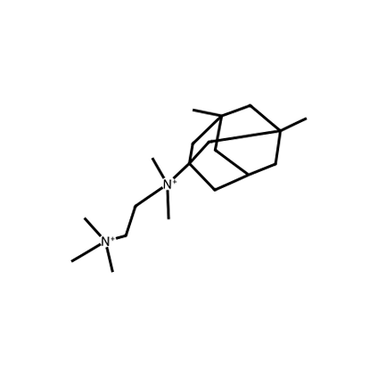 CC12CC3CC(C)(C1)CC([N+](C)(C)CC[N+](C)(C)C)(C3)C2